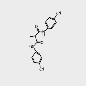 CC(C(=O)Nc1ccc(C#N)cc1)C(=O)Nc1ccc(C#N)cc1